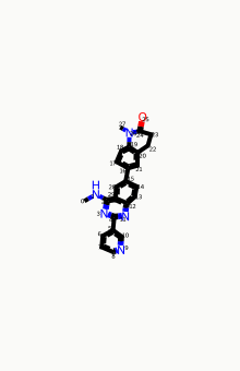 CNc1nc(-c2cccnc2)nc2ccc(-c3ccc4c(c3)CCC(=O)N4C)cc12